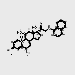 C[C@H]1CC2C([C@@H](O)CC3(C)C2CC[C@]3(O)C(=O)COc2nccc3ccccc23)C2(C)C=CC(=O)C=C12